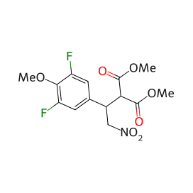 COC(=O)C(C(=O)OC)C(C[N+](=O)[O-])c1cc(F)c(OC)c(F)c1